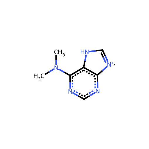 CN(C)c1ncnc2c1NC=[N+]2